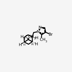 Cc1c(Br)cnn1C[C@@H]1CC[C@H]2C[C@H]1C2(C)C